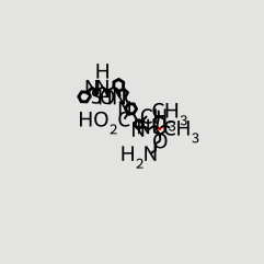 Cc1c(-c2ccc(-c3cc4cccc(C(=O)Nc5nc6ccccc6s5)c4[nH]3)nc2C(=O)O)cnn1CC12CC3(C)CC(C)(C1)CC(OCCN)(C3)C2